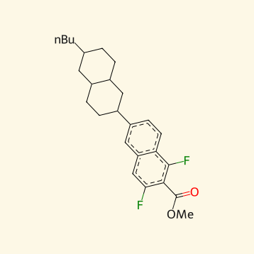 CCCCC1CCC2CC(c3ccc4c(F)c(C(=O)OC)c(F)cc4c3)CCC2C1